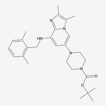 Cc1cccc(C)c1CNc1cc(N2CCN(C(=O)OC(C)(C)C)CC2)cn2c(C)c(C)nc12